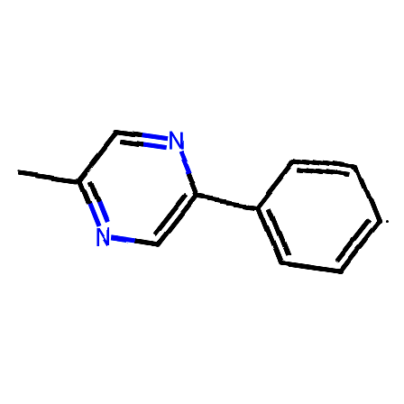 Cc1cnc(-c2cc[c]cc2)cn1